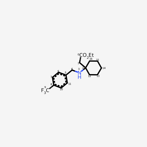 CCOC(=O)CC1(NCc2ccc(C(F)(F)F)cc2)CCCCC1